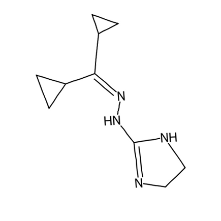 C1CNC(NN=C(C2CC2)C2CC2)=N1